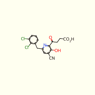 N#Cc1cc(Cc2cccc(Cl)c2Cl)nc(C(=O)CCC(=O)O)c1O